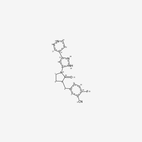 N#Cc1cc(CC2CCN(c3cc(-c4ccncc4)n[nH]3)C2=O)ccc1F